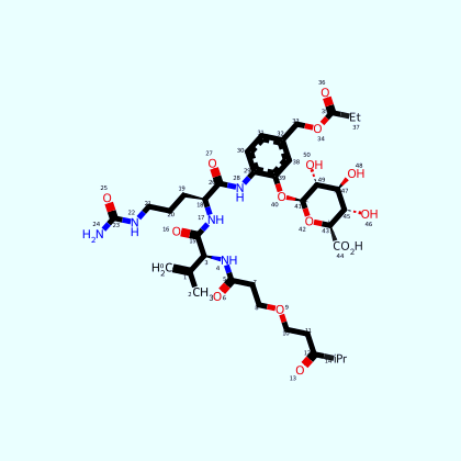 C=C(C)[C@H](NC(=O)CCOCCC(=O)C(C)C)C(=O)N[C@@H](CCCNC(N)=O)C(=O)Nc1ccc(COC(=O)CC)cc1O[C@@H]1O[C@H](C(=O)O)[C@@H](O)[C@H](O)[C@H]1O